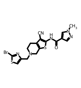 Cn1cc(C(=O)Nc2sc3c(c2C#N)CCN(Cc2csc(Br)n2)C3)cn1